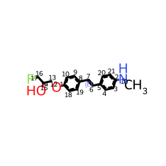 CNc1ccc(/C=C/c2ccc(OCC(O)CF)cc2)cc1